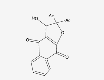 CC(=O)C1(C(C)=O)OC2=C(C(=O)c3ccccc3C2=O)C1O